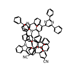 N#Cc1ccc(-n2c3ccccc3c3cc(-c4cc(-c5cc(-c6ccccc6)nc(-c6ccccc6)n5)ccc4-n4c5ccccc5c5ccccc54)ccc32)c(-c2cc(C#N)ccc2-n2c3ccccc3c3cc(-c4cc(-c5cc(-c6ccccc6)nc(-c6ccccc6)n5)ccc4-n4c5ccccc5c5ccccc54)ccc32)c1